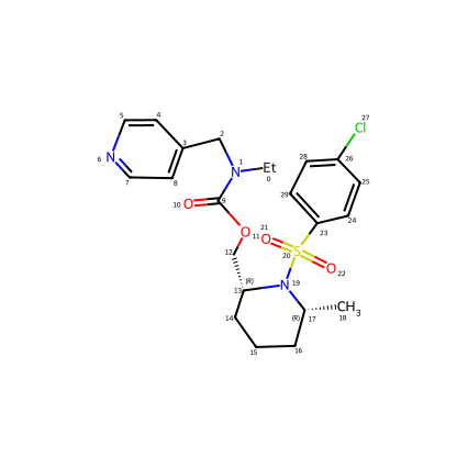 CCN(Cc1ccncc1)C(=O)OC[C@H]1CCC[C@@H](C)N1S(=O)(=O)c1ccc(Cl)cc1